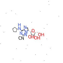 N#Cc1nc(NC2CCCC2)c2ncc([C@@H]3O[C@H](CO)[C@@H](O)[C@H]3O)n2n1